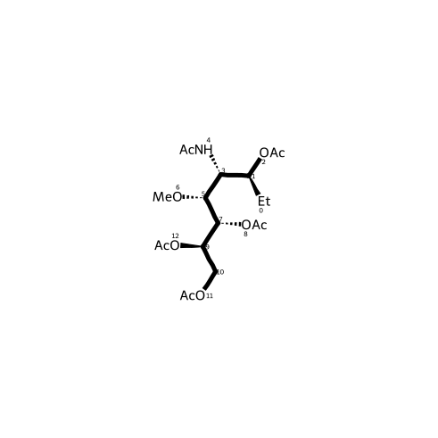 CC[C@H](OC(C)=O)[C@@H](NC(C)=O)[C@@H](OC)[C@H](OC(C)=O)[C@@H](COC(C)=O)OC(C)=O